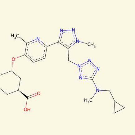 Cc1nc(-c2nnn(C)c2Cn2nnc(N(C)CC3CC3)n2)ccc1O[C@H]1CCC[C@H](C(=O)O)C1